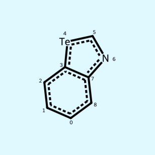 c1ccc2[te]cnc2c1